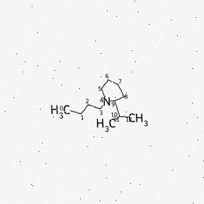 CCCCN1CCCCC1C(C)C